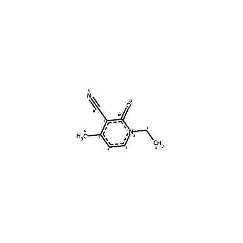 CCn1ccc(C)c(C#N)c1=O